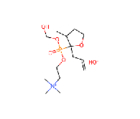 C=CCC1(P(=O)(OCO)OCC[N+](C)(C)C)OCCC1C.[OH-]